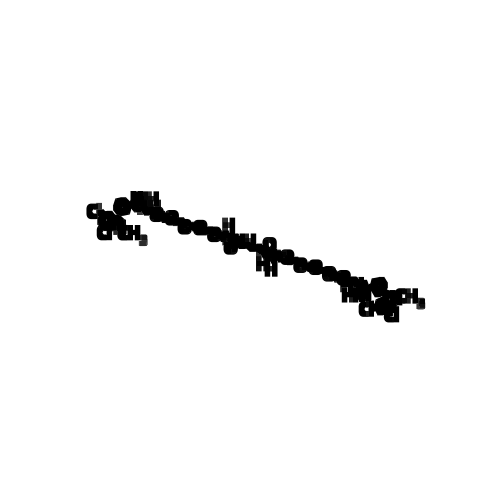 CN1Cc2c(Cl)cc(Cl)cc2C(c2cccc(/C(=C/NCCOCCOCCOCCOCCOCCNC(=O)NCCCCNC(=O)NCCOCCOCCOCCOCCOCCN/C=C(\N=N)c3cccc([C@@H]4CN(C)Cc5c(Cl)cc(Cl)cc54)c3)N=N)c2)C1